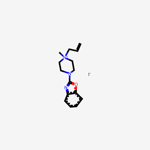 C=CC[N+]1(C)CCN(c2nc3ccccc3o2)CC1.[I-]